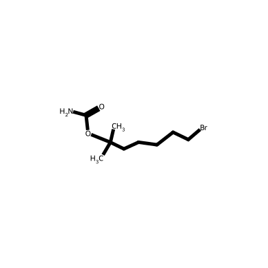 CC(C)(CCCCCBr)OC(N)=O